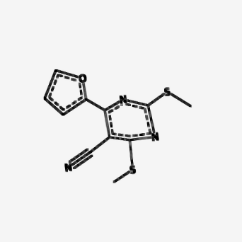 CSc1nc(SC)c(C#N)c(-c2ccco2)n1